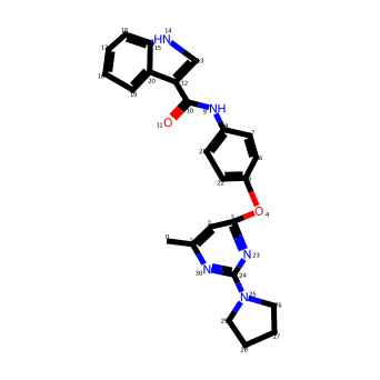 Cc1cc(Oc2ccc(NC(=O)c3c[nH]c4ccccc34)cc2)nc(N2CCCC2)n1